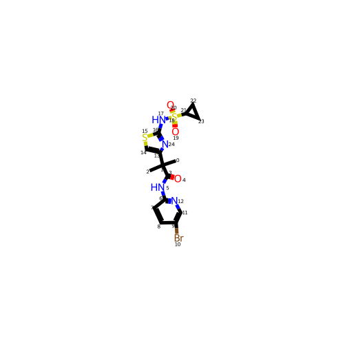 CC(C)(C(=O)Nc1ccc(Br)cn1)c1csc(NS(=O)(=O)C2CC2)n1